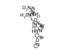 Cn1cnc([N+](=O)[O-])c1C[N+](C)(C)C/C=C/C(=O)Nc1cc2c(Nc3ccc(OCc4ccccn4)c(Br)c3)ncnc2cn1.[Br-]